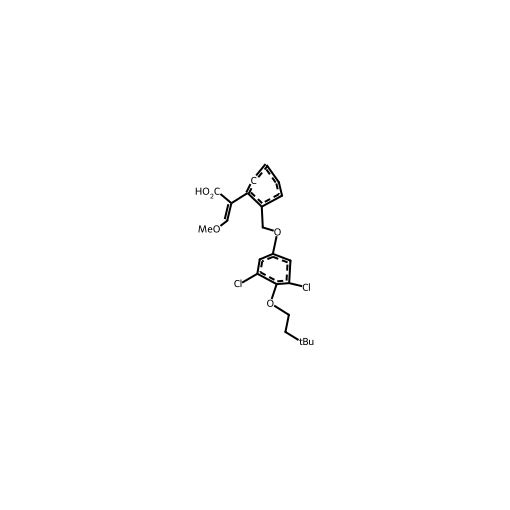 COC=C(C(=O)O)c1ccccc1COc1cc(Cl)c(OCCC(C)(C)C)c(Cl)c1